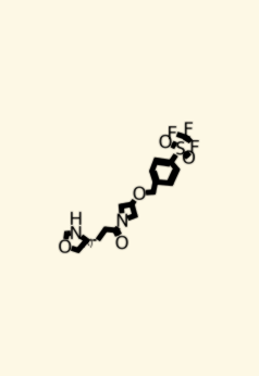 O=C(CC[C@@H]1COCN1)N1CC(OCc2ccc(S(=O)(=O)C(F)(F)F)cc2)C1